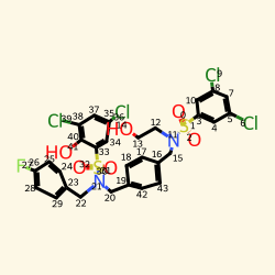 O=S(=O)(c1cc(Cl)cc(Cl)c1)N(CCO)Cc1ccc(CN(Cc2ccc(F)cc2)S(=O)(=O)c2cc(Cl)cc(Cl)c2O)cc1